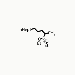 CCCCCCCCCCC(C)[SiH](OCC)OCC